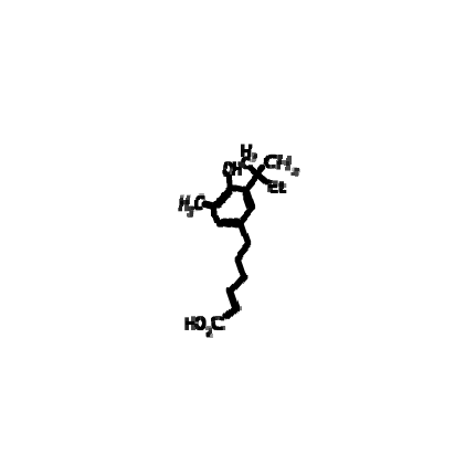 CCC(C)(C)c1cc(CCCCCC(=O)O)cc(C)c1O